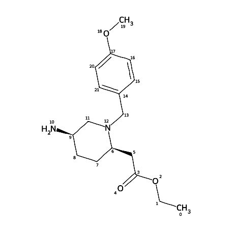 CCOC(=O)C[C@H]1CC[C@@H](N)CN1Cc1ccc(OC)cc1